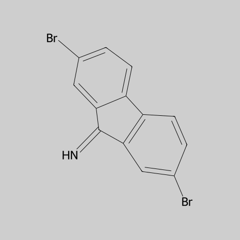 N=C1c2cc(Br)ccc2-c2ccc(Br)cc21